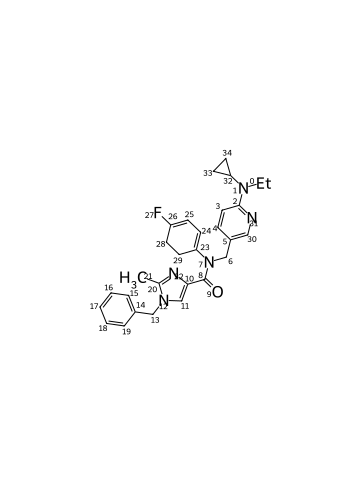 CCN(c1ccc(CN(C(=O)c2cn(Cc3ccccc3)c(C)n2)C2=CC=C(F)CC2)cn1)C1CC1